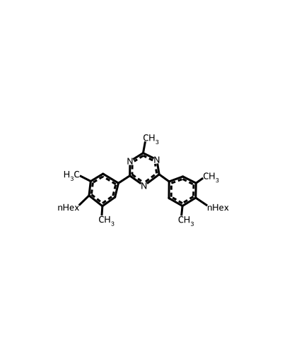 CCCCCCc1c(C)cc(-c2nc(C)nc(-c3cc(C)c(CCCCCC)c(C)c3)n2)cc1C